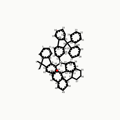 CC1(C)c2ccccc2-c2c(N(c3ccc4c(c3)C(c3ccccc3)(c3ccccc3)c3ccccc3-4)c3ccccc3-c3cccc4cccc(C5CCCCC5)c34)cccc21